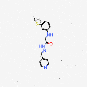 CSc1cccc(NCC(=O)N/N=C/c2ccncc2)c1